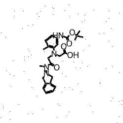 Cc1ccc(NC(=O)OC(C)(C)C)cc1N(CC(=O)O)CC(=O)N(C)N1Cc2ccccc2C1